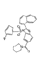 O=C(c1ccc2nc(-c3cccc4ccccc34)n(S(=O)(=O)c3cccc(F)c3)c2c1)N1CCCCC1